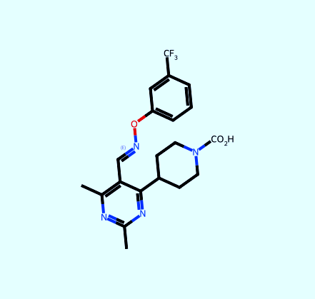 Cc1nc(C)c(/C=N/Oc2cccc(C(F)(F)F)c2)c(C2CCN(C(=O)O)CC2)n1